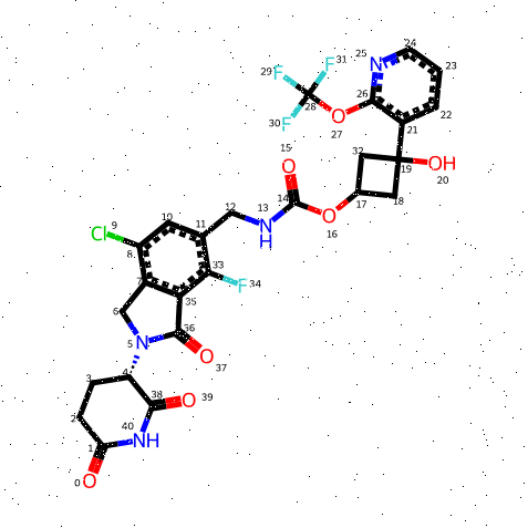 O=C1CC[C@H](N2Cc3c(Cl)cc(CNC(=O)OC4CC(O)(c5cccnc5OC(F)(F)F)C4)c(F)c3C2=O)C(=O)N1